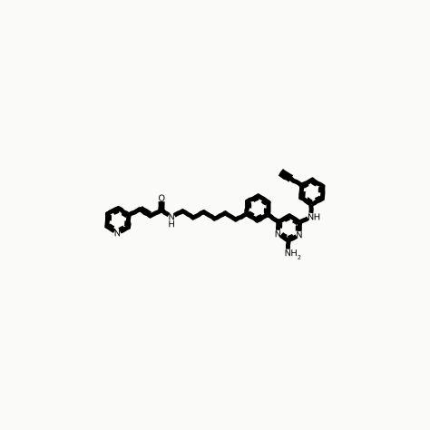 C#Cc1cccc(Nc2cc(-c3cccc(CCCCCCNC(=O)/C=C/c4cccnc4)c3)nc(N)n2)c1